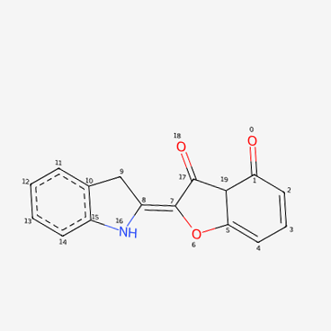 O=C1C=CC=C2OC(=C3Cc4ccccc4N3)C(=O)C12